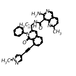 Cc1ccc2cnc(N)c(C(=O)N[C@@H](C)c3cc4cccc(C#Cc5cnn(C)c5)c4c(=O)n3-c3ccccc3)c2n1